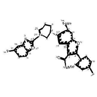 CNC(=O)c1c(-c2ccc(F)cc2)oc2cc(NC)c([C@H]3CCCN(c4nc5cc(F)ccc5o4)C3)cc12